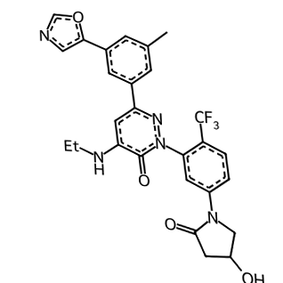 CCNc1cc(-c2cc(C)cc(-c3cnco3)c2)nn(-c2cc(N3CC(O)CC3=O)ccc2C(F)(F)F)c1=O